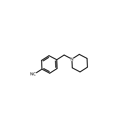 N#Cc1ccc(CN2CCCCC2)cc1